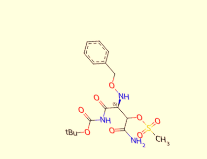 CC(C)(C)OC(=O)NC(=O)[C@@H](NOCc1ccccc1)C(OS(C)(=O)=O)C(N)=O